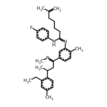 C=C(C)CCCC/C(=N/c1cc(/C(CC(C)c2ccc(C)cc2CC)=N/C)ccc1C)Nc1ccc(F)cc1